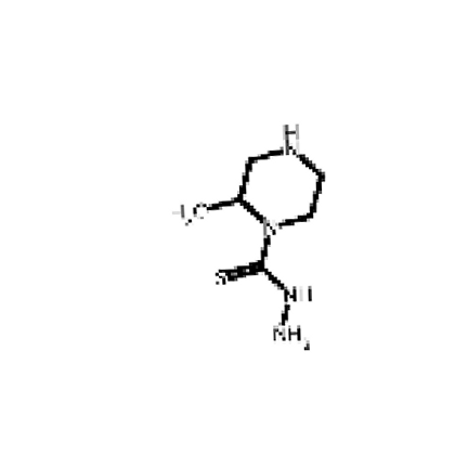 CC1CNCCN1C(=S)NN